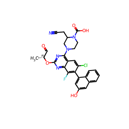 C[C@H](C=O)Oc1nc(N2CCN(C(=O)O)C(CC#N)C2)c2cc(Cl)c(-c3cc(O)cc4ccccc34)c(F)c2n1